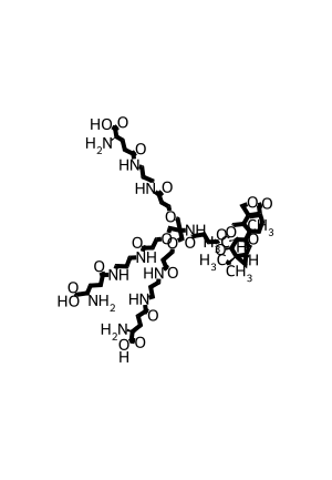 CC(C)[C@]12C[C@H]1[C@@H]1O[C@@]13[C@@]1(C)CCC4=C(COC4=O)C1CO[C@]3(C)[C@@H]2OC(=O)CCC(=O)NC(COCCC(=O)NCCCNC(=O)CC[C@H](N)C(=O)O)(COCCC(=O)NCCCNC(=O)CC[C@H](N)C(=O)O)COCCC(=O)NCCCNC(=O)CC[C@H](N)C(=O)O